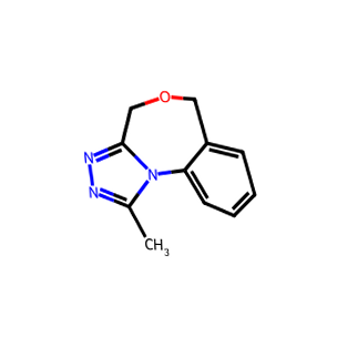 Cc1nnc2n1-c1ccccc1COC2